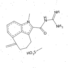 C=C1CCCc2c(C(=O)NC(=N)N)n(C)c3cccc1c23.CS(=O)(=O)O